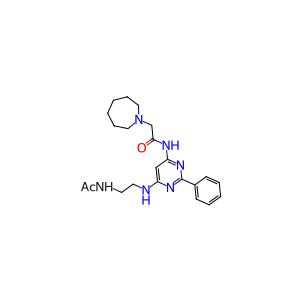 CC(=O)NCCNc1cc(NC(=O)CN2CCCCCC2)nc(-c2ccccc2)n1